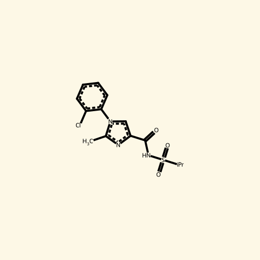 Cc1nc(C(=O)NS(=O)(=O)C(C)C)cn1-c1ccccc1Cl